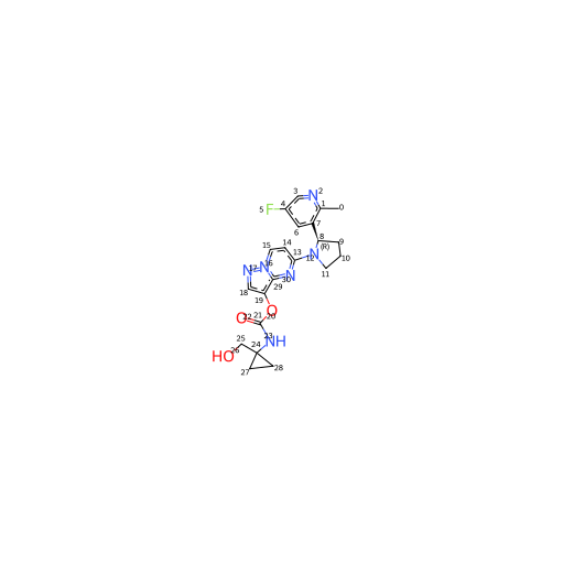 Cc1ncc(F)cc1[C@H]1CCCN1c1ccn2ncc(OC(=O)NC3(CO)CC3)c2n1